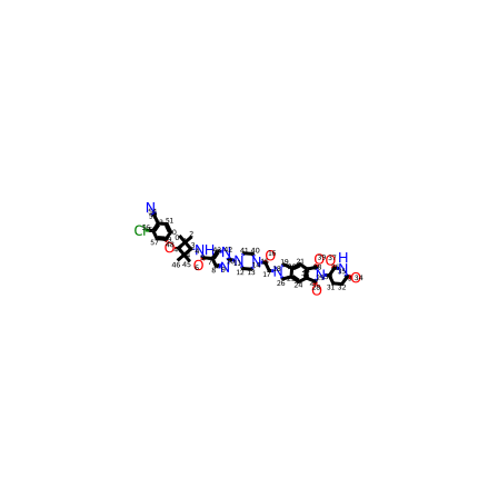 CC1(C)[C@H](NC(=O)c2cnc(N3CCN(C(=O)CN4Cc5cc6c(cc5C4)C(=O)N(C4CCC(=O)NC4=O)C6=O)CC3)nc2)C(C)(C)[C@H]1Oc1ccc(C#N)c(Cl)c1